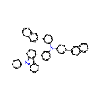 c1ccc(-n2c3ccccc3c3c(-c4cccc(N(c5ccc(-c6ccc7ccccc7c6)cc5)c5cccc(-c6ccc7ccccc7c6)c5)c4)cccc32)cc1